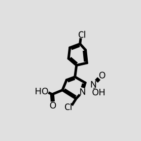 O=C(O)c1cc(-c2ccc(Cl)cc2)cnc1Cl.O=NO